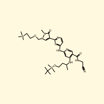 CC(CCO[Si](C)(C)C(C)(C)C)Nc1cc(Nc2ccnc(-c3cn(COCC[Si](C)(C)C)n(C)c3=O)n2)ncc1C(=O)NCC#N